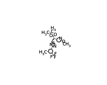 COc1ccc(/C(=C\n2cnc(-c3cc(C)cc(C(F)(F)F)c3)n2)C(=O)OC(C)C)cn1